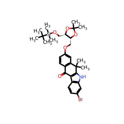 CC1(C)O[C@@H](CO[Si](C)(C)C(C)(C)C)[C@@H](COc2ccc3c(c2)C(C)(C)c2[nH]c4cc(Br)ccc4c2C3=O)O1